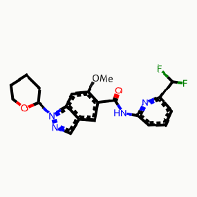 COc1cc2c(cnn2C2CCCCO2)cc1C(=O)Nc1cccc(C(F)F)n1